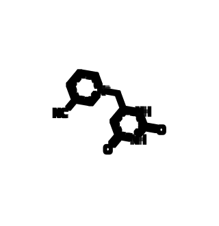 N#Cc1ccc[n+](Cc2cc(=O)[nH]c(=O)[nH]2)c1